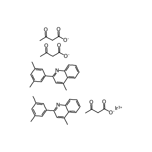 CC(=O)CC(=O)[O-].CC(=O)CC(=O)[O-].CC(=O)CC(=O)[O-].Cc1cc(C)cc(-c2cc(C)c3ccccc3n2)c1.Cc1cc(C)cc(-c2cc(C)c3ccccc3n2)c1.[Ir+3]